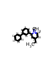 CCC1=CC(c2cccc(-c3ccccc3)c2)N(C)C=C1